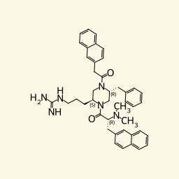 CN(C)[C@H](Cc1ccc2ccccc2c1)C(=O)N1C[C@@H](Cc2ccccc2)N(C(=O)Cc2ccc3ccccc3c2)C[C@@H]1CCCNC(=N)N